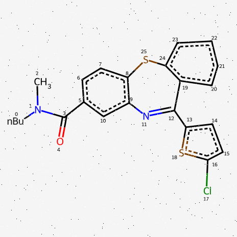 CCCCN(C)C(=O)c1ccc2c(c1)N=C(c1ccc(Cl)s1)c1ccccc1S2